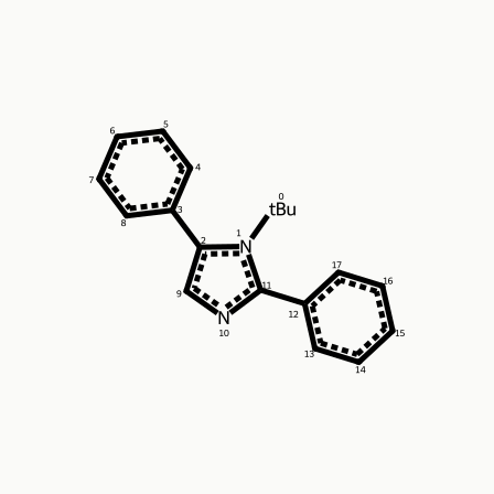 CC(C)(C)n1c(-c2ccccc2)cnc1-c1ccccc1